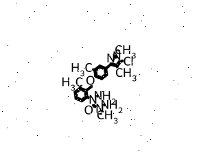 Cc1cc(-c2nn(C)c(Cl)c2C)ccc1OCc1c(C)cccc1N(N)C(=O)N(C)N